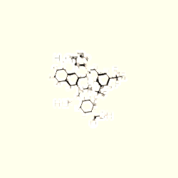 CCN(C[C@H]1CC[C@H](C(=O)O)CC1)c1cc2c(cc1CN(Cc1cc(C(F)(F)F)cc(C(F)(F)F)c1)c1nnn(C)n1)CCCC2.Cl